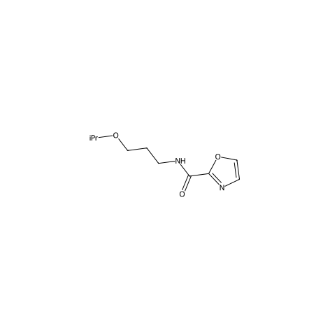 CC(C)OCCCNC(=O)c1ncco1